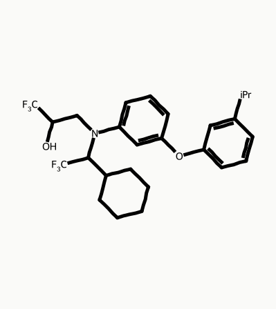 CC(C)c1cccc(Oc2cccc(N(CC(O)C(F)(F)F)C(C3CCCCC3)C(F)(F)F)c2)c1